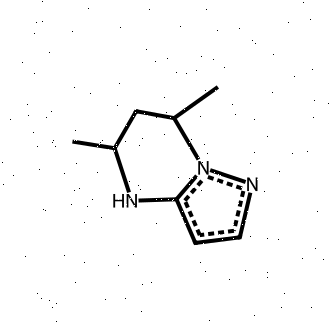 CC1CC(C)n2nccc2N1